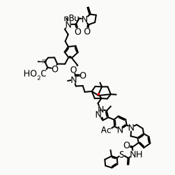 C=C(NC(=O)c1cccc2c1CN(c1ccc(-c3cnn(CC45CC6(C)CC(C)(CC(CCCN(C)C(=O)OCc7ccc(CCCN(CCCC)C(=O)CN8C(=C)CCC8=O)cc7CC7CC[C@H](C)C(C(=O)O)O7)(C6)C4)C5)c3C)c(C(C)=O)n1)CC2)SC1=C(C)CCC=C1